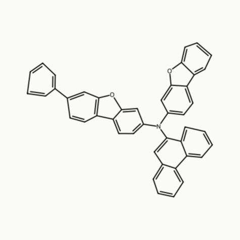 c1ccc(-c2ccc3c(c2)oc2cc(N(c4ccc5c(c4)oc4ccccc45)c4cc5ccccc5c5ccccc45)ccc23)cc1